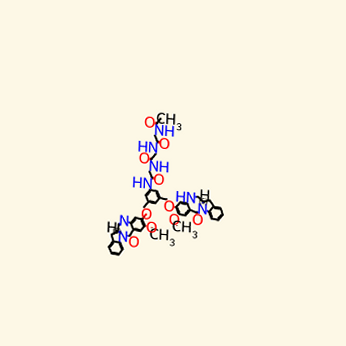 COc1cc2c(cc1OCc1cc(COc3cc4c(cc3OC)C(=O)N3c5ccccc5C[C@H]3CN4)cc(NC(=O)CNC(=O)CNC(=O)CNC(C)=O)c1)N=C[C@@H]1Cc3ccccc3N1C2=O